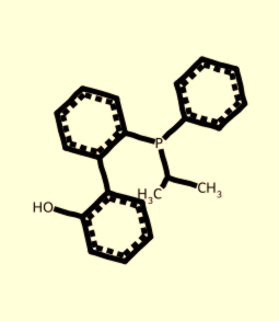 CC(C)P(c1ccccc1)c1ccccc1-c1ccccc1O